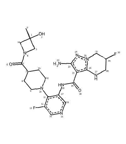 CC1(O)CN(C(=O)C2CCN(c3c(F)cncc3NC(=O)c3c(N)nn4c3NCC(F)C4)CC2)C1